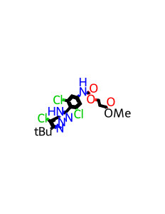 COC(=O)CCOC(=O)Nc1cc(Cl)c(-c2nn3nc(C(C)(C)C)c(Cl)c3[nH]2)c(Cl)c1